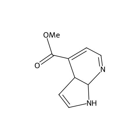 COC(=O)C1=CC=NC2NC=CC12